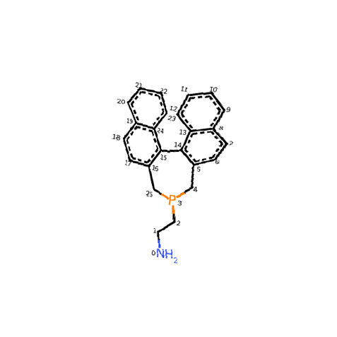 NCCP1Cc2ccc3ccccc3c2-c2c(ccc3ccccc23)C1